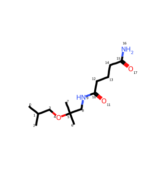 CC(C)COC(C)(C)CNC(=O)CCCC(N)=O